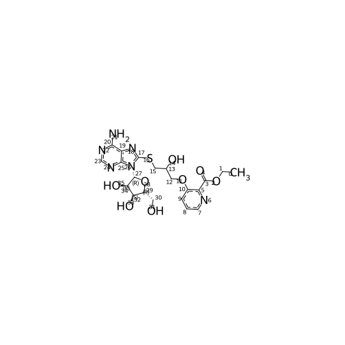 CCOC(=O)c1ncccc1OCC(O)CSc1nc2c(N)ncnc2n1[C@@H]1O[C@H](CO)[C@@H](O)[C@H]1O